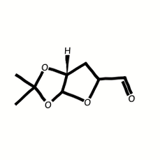 CC1(C)OC2OC(C=O)C[C@H]2O1